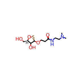 CN(C)CCNC(=O)CCOC1SO[C@H](CO)C1O